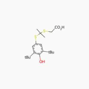 CC(C)(SCC(=O)O)Sc1cc(C(C)(C)C)c(O)c(C(C)(C)C)c1